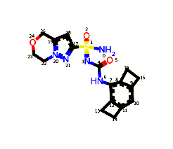 NS(=O)(=NC(=O)Nc1c2c(cc3c1CC3)CC2)c1cc2n(n1)CCOC2